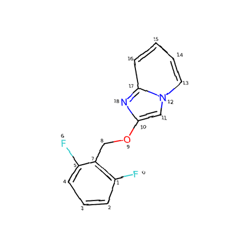 Fc1cccc(F)c1COc1cn2ccccc2n1